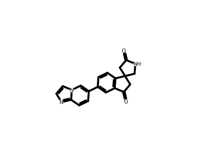 O=C1CC2(CN1)CC(=O)c1cc(-c3ccc4nccn4c3)ccc12